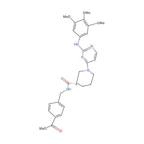 COC(=O)c1ccc(CNC(=O)[C@H]2CCCN(c3ccnc(Nc4cc(OC)c(OC)c(OC)c4)n3)C2)cc1